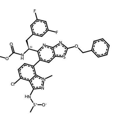 Cn1nc(N[S+](C)[O-])c2c(Cl)ccc(-c3cc4sc(OCc5ccccc5)nc4nc3[C@H](Cc3cc(F)cc(F)c3)NC(=O)OC(C)(C)C)c21